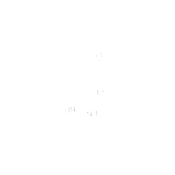 CCOC(=O)C1CCc2cc(C(=N)N)sc2C1.Cl